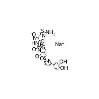 CON=C(C(=O)N[C@@H]1C(=O)N2C(C(=O)[O-])=C(CSc3nc(-c4ccc(O)c(O)c4)cs3)CS[C@@H]12)c1csc(N)n1.[Na+]